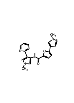 Cn1cc(-c2ccc(C(=O)Nc3cn(C)nc3-c3ccccn3)o2)cn1